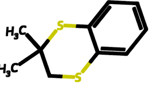 CC1(C)CSc2ccccc2S1